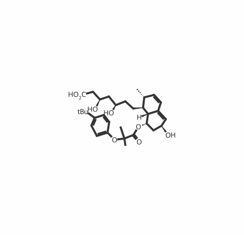 C[C@@H]1C=CC2=C[C@@H](O)C[C@H](OC(=O)C(C)(C)Oc3ccc(C(C)(C)C)cc3)[C@@H]2[C@H]1CC[C@@H](O)C[C@@H](O)CC(=O)O